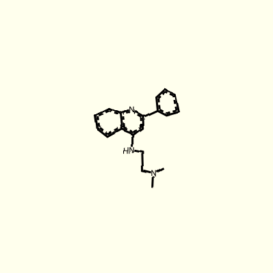 CN(C)CCNc1cc(-c2ccccc2)nc2ccccc12